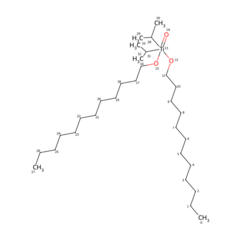 CCCCCCCCCCCC[O][Ti](=[O])([O]CCCCCCCCCCCC)([CH](C)C)[CH](C)C